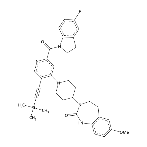 COc1ccc2c(c1)CCN(C1CCN(c3cc(C(=O)N4CCc5cc(F)ccc54)ncc3C#C[Si](C)(C)C)CC1)C(=O)N2